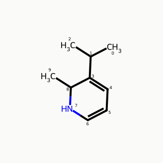 CC(C)C1=CC=CNC1C